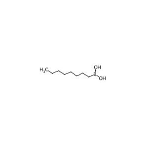 CCCCCCCCB(O)O